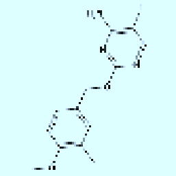 COc1ccc(COc2ncc(F)c(N)n2)cc1C